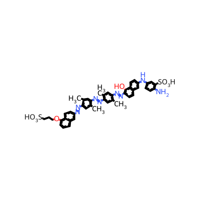 Cc1cc(N=Nc2cc(C)c(N=Nc3ccc4cc(Nc5ccc(N)c(S(=O)(=O)O)c5)ccc4c3O)cc2C)c(C)cc1N=Nc1ccc2c(OCCCS(=O)(=O)O)cccc2c1